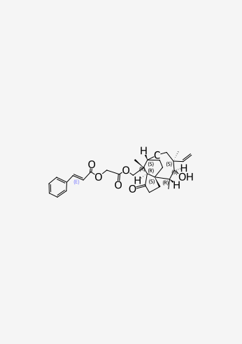 C=C[C@]1(C)CC[C@@H]2CC[C@]3(CCC(=O)[C@H]3[C@]2(C)COC(=O)COC(=O)/C=C/c2ccccc2)[C@@H](C)[C@@H]1O